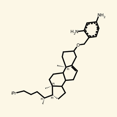 CC(C)CCC[C@@H](C)[C@H]1CCC2C3CC=C4CC(OCc5ccc(N)cc5N)CC[C@]4(C)C3CC[C@@]21C